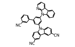 N#Cc1cccc(-c2cc(-n3c4ccc(C#N)cc4c4cc(C#N)ccc43)cc(-n3c4ccccc4c4cccnc43)c2)c1